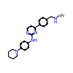 CCCNCc1ccc(-c2ccnc(Nc3ccc(N4CCCCC4)cc3)n2)cc1